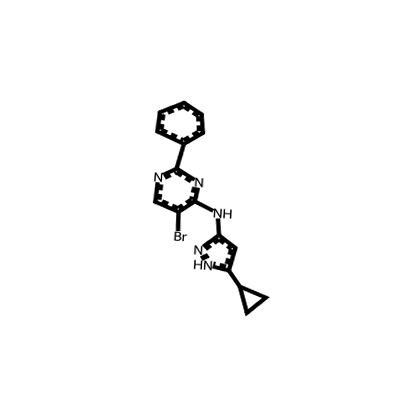 Brc1cnc(-c2ccccc2)nc1Nc1cc(C2CC2)[nH]n1